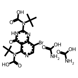 CC(C)(C)N(C(=O)O)c1nc2c(Br)cnc(N(C(=O)O)C(C)(C)C)c2c(=O)[nH]1.NC(=O)O.NC(=O)O